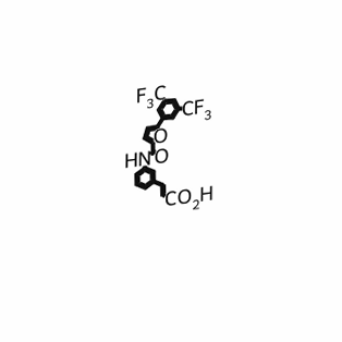 O=C(O)/C=C/c1cccc(NC(=O)c2ccc(-c3cc(C(F)(F)F)cc(C(F)(F)F)c3)o2)c1